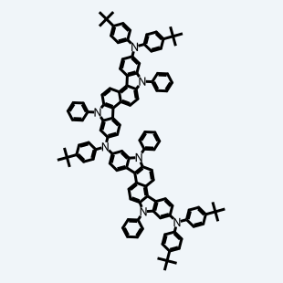 CC(C)(C)c1ccc(N(c2ccc(C(C)(C)C)cc2)c2ccc3c4c5ccc6c(c5ccc4n(-c4ccccc4)c3c2)c2ccc(N(c3ccc(C(C)(C)C)cc3)c3ccc4c5c7ccc8c(c7ccc5n(-c5ccccc5)c4c3)c3ccc(N(c4ccc(C(C)(C)C)cc4)c4ccc(C(C)(C)C)cc4)cc3n8-c3ccccc3)cc2n6-c2ccccc2)cc1